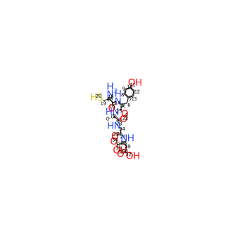 C[C@H](NC(=O)[C@H](Cc1ccc(O)cc1)NC(=O)[C@@H](N)CS)C(=O)NCC(=O)N[C@@H](CC(=O)O)C(=O)O